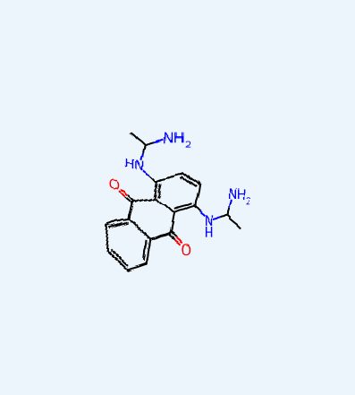 CC(N)Nc1ccc(NC(C)N)c2c1C(=O)c1ccccc1C2=O